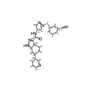 N#Cc1cccc(Cn2cc(NC(=O)c3n[nH]c4cc(-c5cccnc5)ccc34)cn2)c1